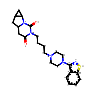 O=C1CC2CC3CC3N2C(=O)N1CCCCN1CCN(c2nsc3ccccc23)CC1